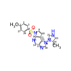 Cc1ccc(S(=O)(=O)n2ccc3c4c(cnc32)ncn4N2CNCC2C)cc1